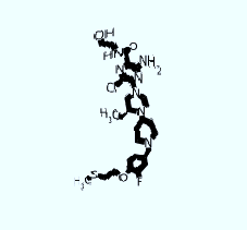 CC[C@H]1CN(c2nc(N)c(C(=O)NCCO)nc2Cl)CCN1C1CCN(Cc2ccc(OCCSC)c(F)c2)CC1